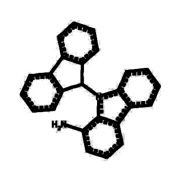 Nc1cccc2c3ccccc3n(C3c4ccccc4-c4ccccc43)c12